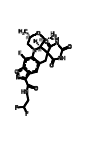 C[C@H]1CN2c3c(cc4c(C(=O)NCC(F)F)noc4c3F)CC3(C(=O)NC(=O)NC3=O)[C@@H]2[C@@H](C)O1